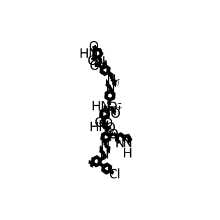 C[C@@H]1CN(C2CCC(CNc3ccc(S(=O)(=O)NC(=O)c4ccc(N5CCN(CC6=C(c7ccc(Cl)cc7)CC(C)(C)CC6)CC5)cc4Oc4cnc5[nH]ccc5c4)cc3[N+](=O)[O-])CC2)CCN1Cc1ccc2c(c1)CN(C1CCC(=O)NC1=O)C2=O